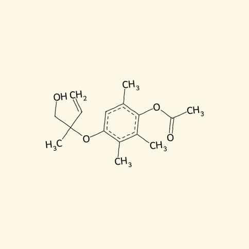 C=CC(C)(CO)Oc1cc(C)c(OC(C)=O)c(C)c1C